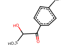 CC(C)(C)c1ccc(C(=O)C(O)S(=O)(=O)O)cc1